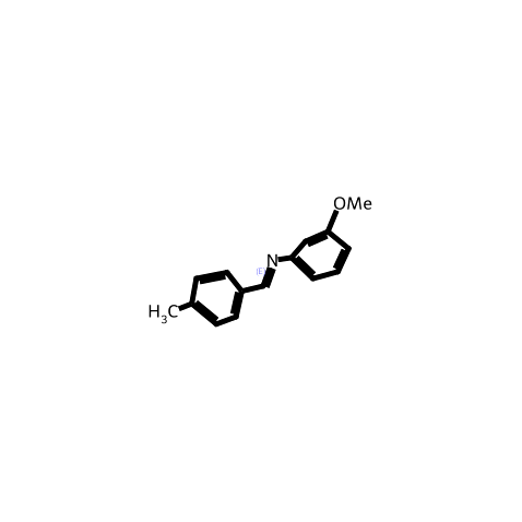 COc1cccc(/N=C/c2ccc(C)cc2)c1